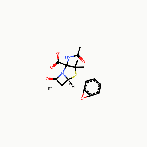 CC(=O)NC1(C(=O)[O-])N2C(=O)C[C@H]2SC1(C)C.[K+].c1ccc2c(c1)O2